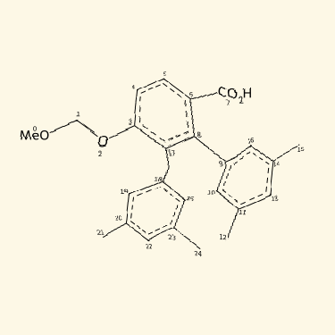 COCOc1ccc(C(=O)O)c(-c2cc(C)cc(C)c2)c1-c1cc(C)cc(C)c1